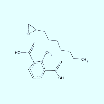 CCCCCCCC1CO1.Cc1c(C(=O)O)cccc1C(=O)O